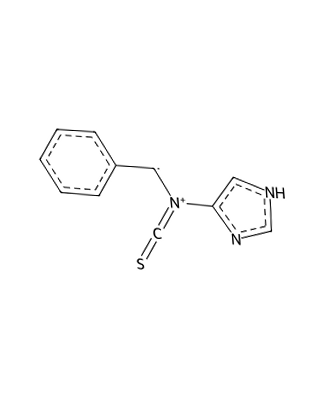 S=C=[N+]([CH]c1ccccc1)c1c[nH]cn1